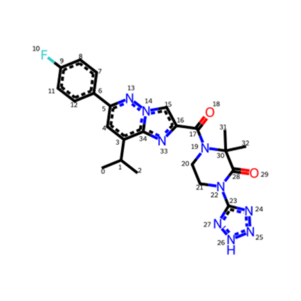 CC(C)c1cc(-c2ccc(F)cc2)nn2cc(C(=O)N3CCN(c4nn[nH]n4)C(=O)C3(C)C)nc12